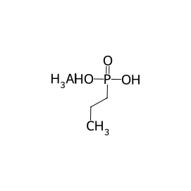 CCCP(=O)(O)O.[AlH3]